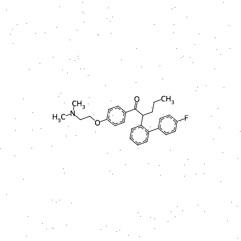 CCCC(C(=O)c1ccc(OCCN(C)C)cc1)c1ccccc1-c1ccc(F)cc1